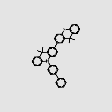 CC1(C)c2ccccc2Sc2ccc(-c3ccc4c(c3)C(C)(C)c3ccccc3N4c3ccc(-c4ccccc4)cc3)cc21